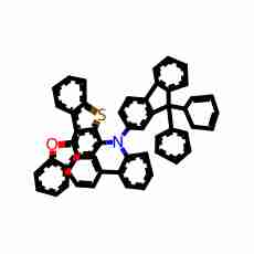 C1=CCC(C2(c3ccccc3)c3ccccc3-c3ccc(N(c4ccccc4C4=CCCC=C4)c4cc5c6ccccc6oc5c5c4sc4ccccc45)cc32)C=C1